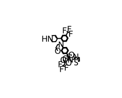 O=C(ON(c1nccs1)S(=O)(=O)c1ccc2c(c1)OCCN2c1ccc(C(F)(F)F)cc1C1=CCNCC1)C(F)(F)F